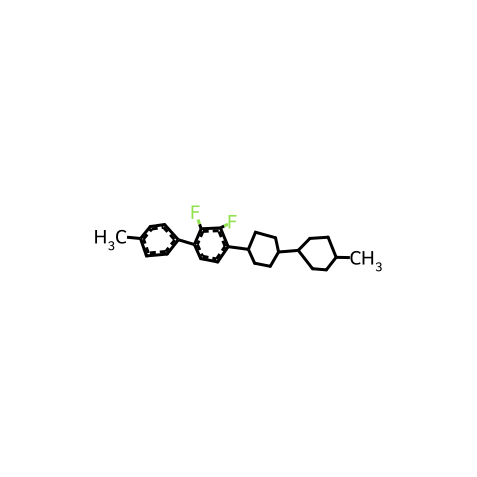 Cc1ccc(-c2ccc(C3CCC(C4CCC(C)CC4)CC3)c(F)c2F)cc1